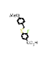 COc1ccc(CSc2ccc(C(=O)O)cc2F)cc1